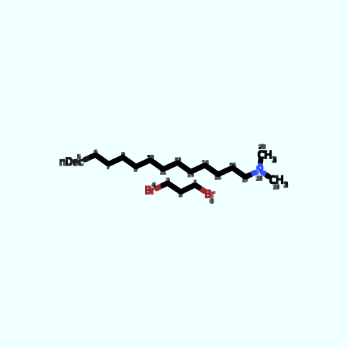 BrCCCBr.CCCCCCCCCCCCCCCCCCCCCCN(C)C